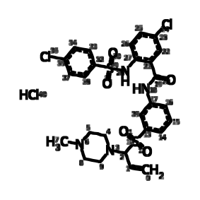 C=CC(N1CCN(C)CC1)S(=O)(=O)c1cccc(NC(=O)c2cc(Cl)ccc2NS(=O)(=O)c2ccc(Cl)cc2)c1.Cl